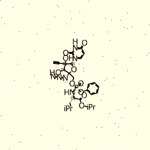 C#C[C@@]1(O)[C@H](O)C(COP(=O)(N[C@@H](CC(C)C)C(=O)OC(C)C)Oc2ccccc2)(N=[N+]=[N-])O[C@H]1n1ccc(=O)[nH]c1=O